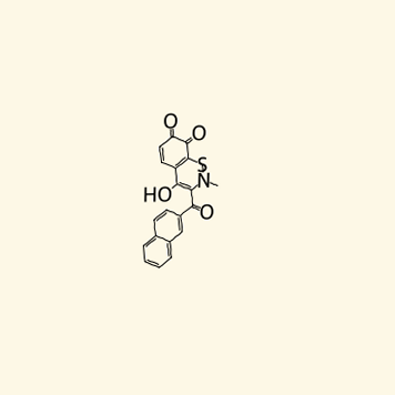 Cn1sc2c(=O)c(=O)ccc=2c(O)c1C(=O)c1ccc2ccccc2c1